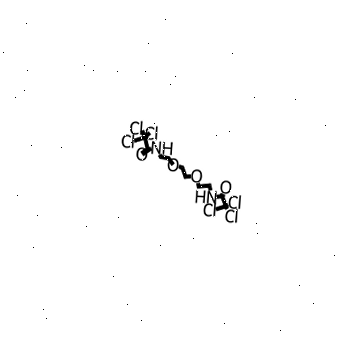 O=C(NCCOCCOCCNC(=O)C(Cl)(Cl)Cl)C(Cl)(Cl)Cl